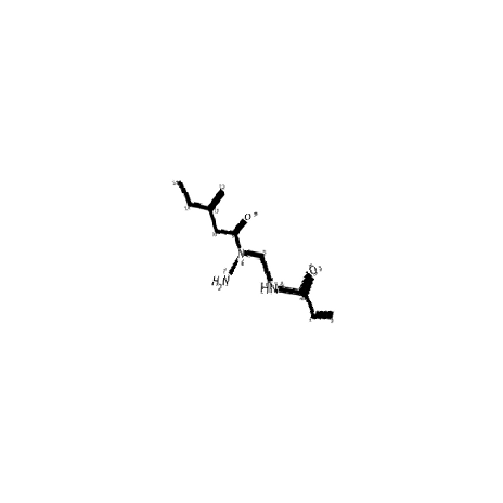 C=CC(=O)NCN(N)C(=O)CC(=C)CC